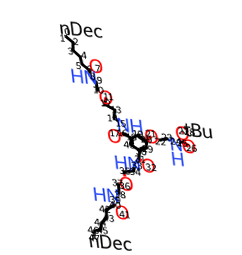 CCCCCCCCCCCCCCCC(=O)NCCOCCCNC(=O)c1cc(OCCNC(=O)OC(C)(C)C)cc(C(=O)NCCOCCNC(=O)CCCCCCCCCCCCCCC)c1